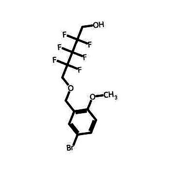 COc1ccc(Br)cc1COCC(F)(F)C(F)(F)C(F)(F)CO